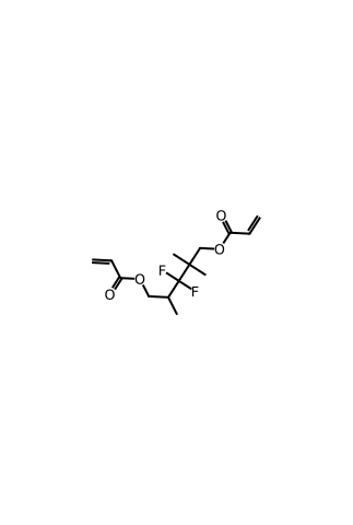 C=CC(=O)OCC(C)C(F)(F)C(C)(C)COC(=O)C=C